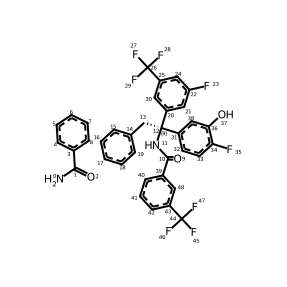 NC(=O)c1ccccc1.O=C(N[C@@](Cc1ccccc1)(c1cc(F)cc(C(F)(F)F)c1)c1ccc(F)c(O)c1)c1cccc(C(F)(F)F)c1